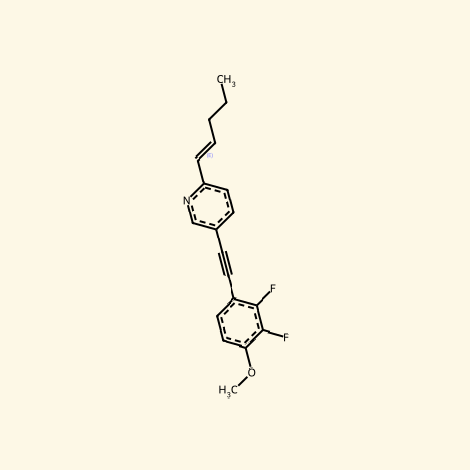 CCC/C=C/c1ccc(C#Cc2ccc(OC)c(F)c2F)cn1